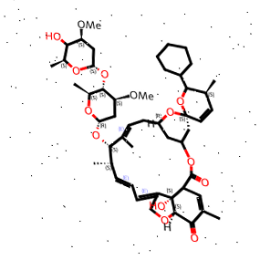 CO[C@H]1C[C@H](O[C@H]2[C@H](C)O[C@@H](O[C@@H]3/C(C)=C/C[C@@H]4CC(C[C@]5(C=C[C@H](C)C(C6CCCCC6)O5)O4)OC(=O)C4C=C(C)C(=O)[C@H]5OC/C(=C\C=C\[C@@H]3C)[C@@]45O)C[C@@H]2OC)O[C@@H](C)C1O